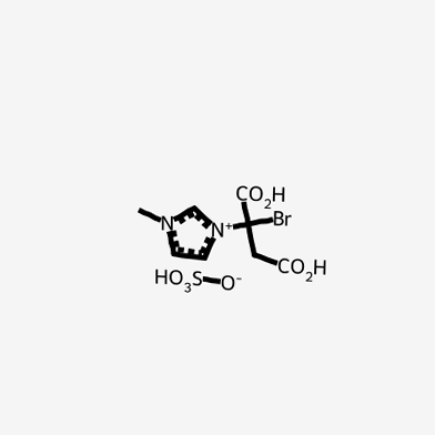 Cn1cc[n+](C(Br)(CC(=O)O)C(=O)O)c1.O=S(=O)([O-])O